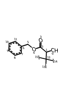 CC(C(=O)OCc1ccccc1)C(I)(I)I